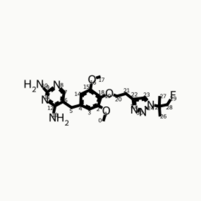 COc1cc(Cc2cnc(N)nc2N)cc(OC)c1OCCc1cn(C(C)(C)CF)nn1